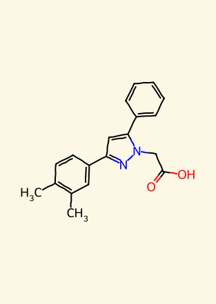 Cc1ccc(-c2cc(-c3ccccc3)n(CC(=O)O)n2)cc1C